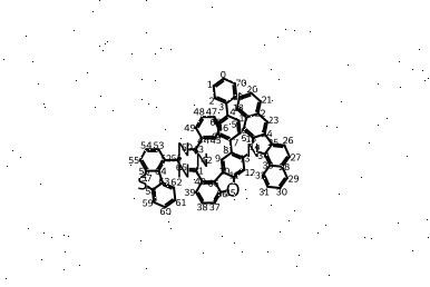 c1ccc(-c2ccc(-c3cc4c(cc3-n3c5cc6ccccc6cc5c5ccc6ccccc6c53)oc3cccc(-c5nc(-c6ccccc6)nc(-c6cccc7sc8ccccc8c67)n5)c34)cc2)cc1